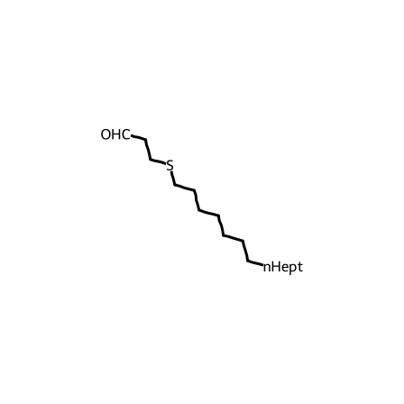 CCCCCCCCCCCCCCSCCC=O